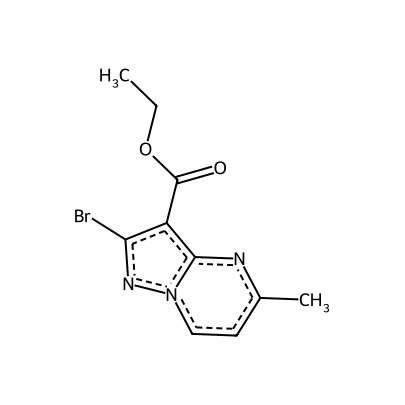 CCOC(=O)c1c(Br)nn2ccc(C)nc12